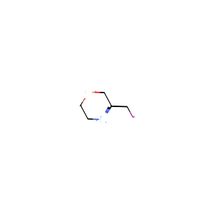 ICC1=NCCOC1